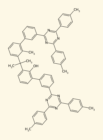 Cc1ccc(-c2nc(-c3ccc(C)cc3)nc(-c3cccc(-c4cccc(C(C)(C)c5cccc(-c6cccc(-c7nc(-c8ccc(C)cc8)nc(-c8ccc(C)cc8)n7)c6)c5O)c4C)c3)n2)cc1